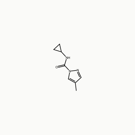 Cc1cnn(C(=O)NC2CC2)c1